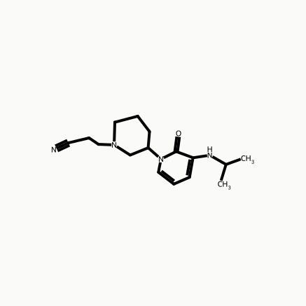 CC(C)Nc1cccn(C2CCCN(CCC#N)C2)c1=O